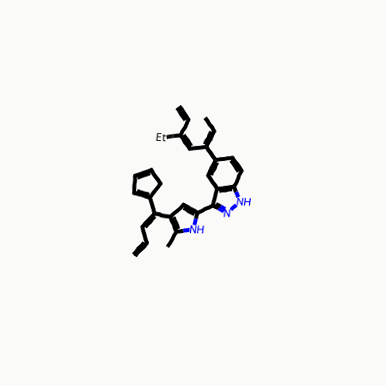 C=C/C=C(/C1=CC=CC1)c1cc(-c2n[nH]c3ccc(C(/C=C(\C=C)CC)=C/C)cc23)[nH]c1C